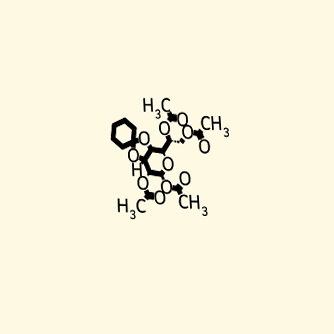 CC(=O)OC[C@@H](OC(C)=O)[C@@H]1O[C@@H](OC(C)=O)[C@H](OC(C)=O)[C@@H]2OC3(CCCCC3)OC21